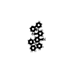 N#Cc1cc([Si](c2ccccc2)(c2ccccc2)c2ccccc2)ccc1-c1cccc(-n2c3ccccc3c3ccccc32)c1C#N